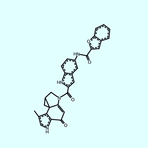 Cc1c[nH]c2c1C13CC1CN(C(=O)c1cc4cc(NC(=O)c5cc6ccccc6o5)ccc4[nH]1)C3=CC2=O